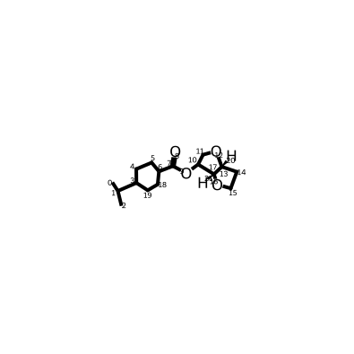 CC(C)C1CCC(C(=O)OC2CO[C@@H]3CCO[C@H]23)CC1